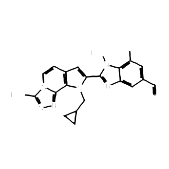 Cc1nnc2c3c(ccn12)cc(-c1nc2cc(C=O)cc(F)c2n1C)n3CC1CC1